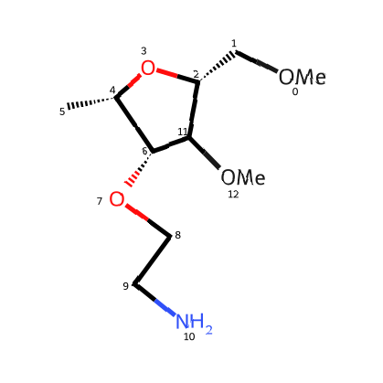 COC[C@H]1O[C@@H](C)[C@@H](OCCN)C1OC